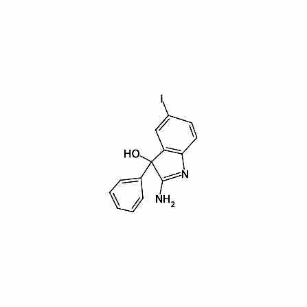 NC1=Nc2ccc(I)cc2C1(O)c1ccccc1